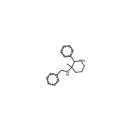 CC1(NCc2ccccc2)CCCNC1c1ccccc1